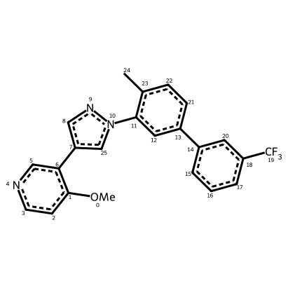 COc1ccncc1-c1cnn(-c2cc(-c3cccc(C(F)(F)F)c3)ccc2C)c1